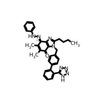 CCCCc1nc2c(n1Cc1ccc(-c3ccccc3-c3nnn[nH]3)cc1)C(=O)C(C)=C(C)/C2=N\Nc1ccccc1